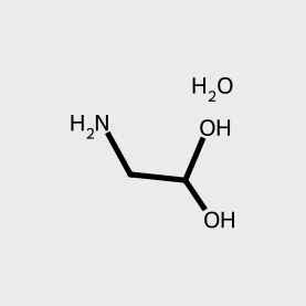 NCC(O)O.O